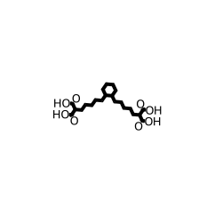 O=C(O)C(CCCCCC1CCCCC1CCCCCC(C(=O)O)C(=O)O)C(=O)O